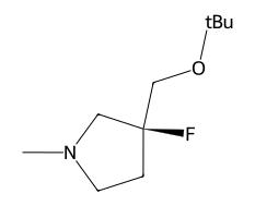 CN1CC[C@@](F)(COC(C)(C)C)C1